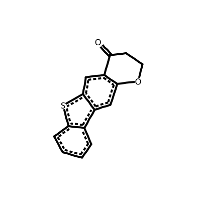 O=C1CCOc2cc3c(cc21)sc1ccccc13